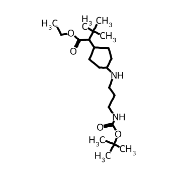 CCOC(=O)C(C1CCC(NCCCNC(=O)OC(C)(C)C)CC1)C(C)(C)C